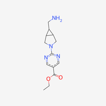 CCOC(=O)c1cnc(N2CC3C(CN)C3C2)nc1